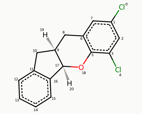 Clc1cc(Cl)c2c(c1)C[C@@H]1Cc3ccccc3[C@@H]1O2